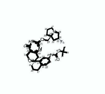 CC(C)(C)OC(=O)Nc1ccc2c(c1)[C@]1(CCC2)Cc2nc(OC[C@@]34CCCN3C[C@H](F)C4)[nH]c(=O)c2CO1